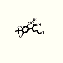 CCOC(=N)C(CCCCl)c1cc(Cl)c(C(C)(C)C#N)cc1Cl